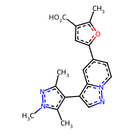 Cc1nn(C)c(C)c1-c1cnn2ccc(-c3cc(C(=O)O)c(C)o3)cc12